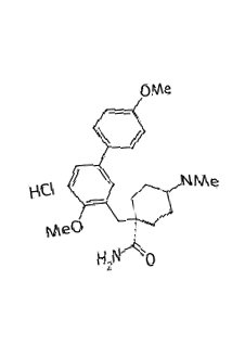 CNC1CCC(Cc2cc(-c3ccc(OC)cc3)ccc2OC)(C(N)=O)CC1.Cl